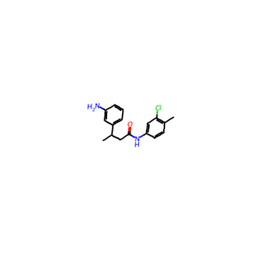 Cc1ccc(NC(=O)CC(C)c2cccc(N)c2)cc1Cl